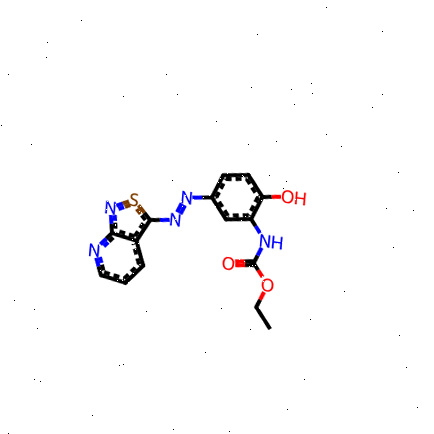 CCOC(=O)Nc1cc(/N=N/c2snc3ncccc23)ccc1O